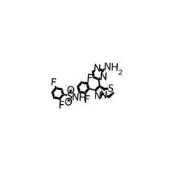 Nc1nccc(-c2c(-c3c(F)ccc(NS(=O)(=O)c4cc(F)ccc4F)c3F)nn3ccsc23)n1